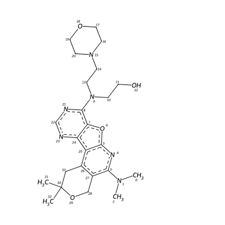 CN(C)c1nc2oc3c(N(CCO)CCN4CCOCC4)ncnc3c2c2c1COC(C)(C)C2